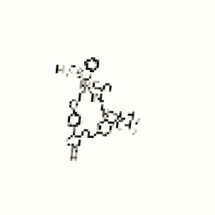 COc1ccccc1COCCCOc1ccc(C2CCNCC2OCc2ccc3c(c2)N(CCNC(C)=O)CC3(C)C)cc1